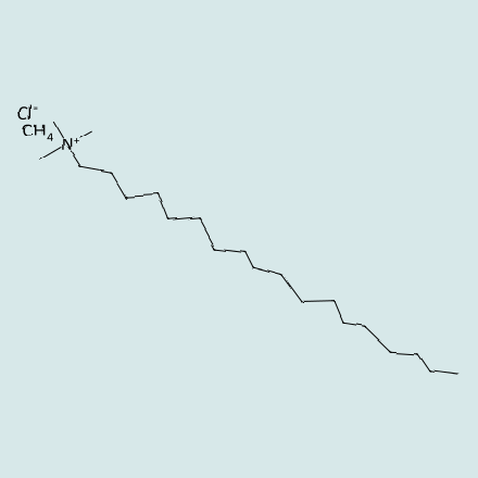 C.CCCCCCCCCCCCCCCCCC[N+](C)(C)C.[Cl-]